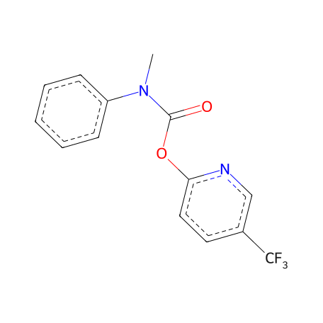 CN(C(=O)Oc1ccc(C(F)(F)F)cn1)c1ccccc1